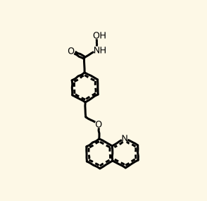 O=C(NO)c1ccc(COc2cccc3cccnc23)cc1